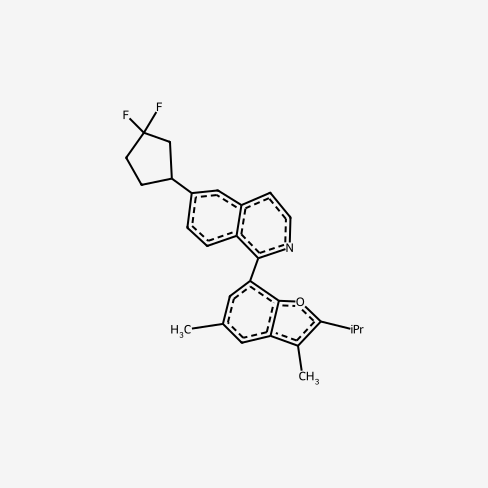 Cc1cc(-c2nccc3cc(C4CCC(F)(F)C4)ccc23)c2oc(C(C)C)c(C)c2c1